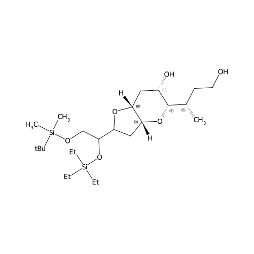 CC[Si](CC)(CC)OC(CO[Si](C)(C)C(C)(C)C)C1C[C@H]2O[C@@H]([C@@H](C)CCO)[C@@H](O)C[C@H]2O1